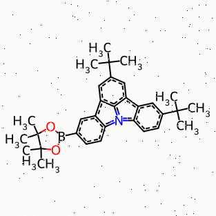 CC(C)(C)c1ccc2c(c1)c1cc(C(C)(C)C)cc3c4cc(B5OC(C)(C)C(C)(C)O5)ccc4n2c31